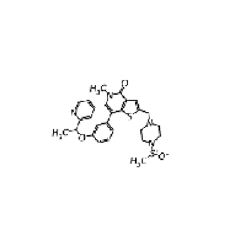 CC(Oc1cccc(-c2cn(C)c(=O)c3cc(CN4CCN([S+](C)[O-])CC4)sc23)c1)c1ccccn1